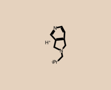 C[C](C)CN1Cc2ccncc2C1.[H+]